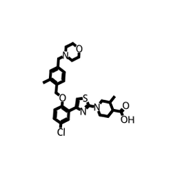 Cc1cc(CN2CCOCC2)ccc1COc1ccc(Cl)cc1-c1csc(N2CCC(C(=O)O)C(C)C2)n1